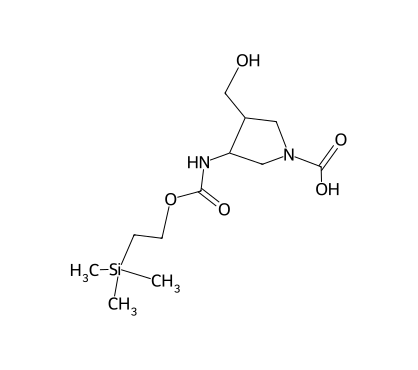 C[Si](C)(C)CCOC(=O)NC1CN(C(=O)O)CC1CO